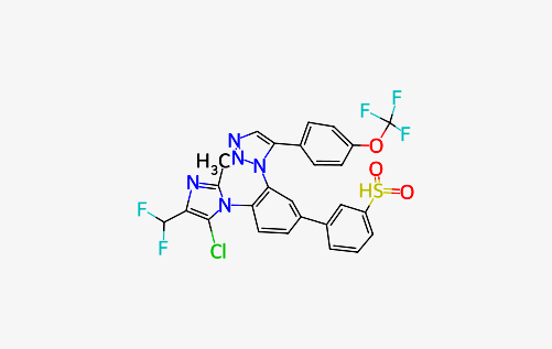 Cc1nc(C(F)F)c(Cl)n1-c1ccc(-c2cccc([SH](=O)=O)c2)cc1-n1nncc1-c1ccc(OC(F)(F)F)cc1